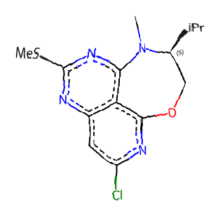 CSc1nc2c3c(nc(Cl)cc3n1)OC[C@H](C(C)C)N2C